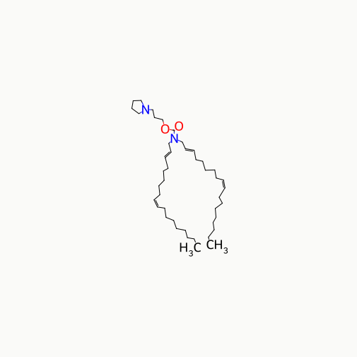 CCCCCCCC/C=C\CCCCC/C=C/CN(C/C=C/CCCCC/C=C\CCCCCCCC)C(=O)OCCCN1CCCC1